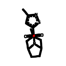 Cc1cc(S(=O)(=O)N2C3CCC2CN(C)C3)sn1